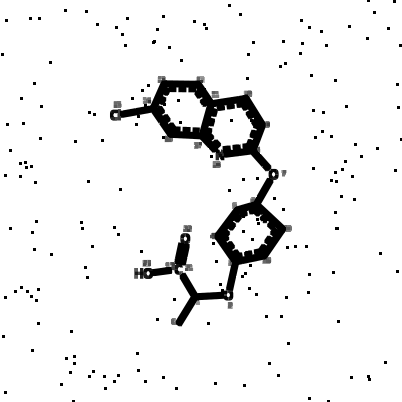 CC(Oc1ccc(Oc2ccc3ccc(Cl)cc3n2)cc1)[13C](=O)O